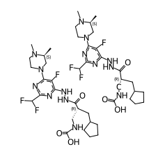 C[C@H]1CN(c2nc(C(F)F)nc(NNC(=O)[C@@H](CNC(=O)O)CC3CCCC3)c2F)CCN1C.C[C@H]1CN(c2nc(C(F)F)nc(NNC(=O)[C@@H](CNC(=O)O)CC3CCCC3)c2F)CCN1C